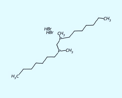 Br.Br.CCCCCCCP(C)CP(C)CCCCCCC